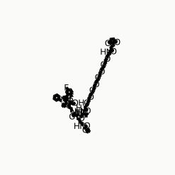 CC(C)[C@H](NC(=O)CCOCCOCCOCCOCCOCCOCCOCCOCCNC(=O)CCN1C(=O)C=CC1=O)C(=O)N[C@@H](CCCCNC(=O)OC(C)(C)C)C(=O)NCCCN(C(=O)CO)[C@@H](c1nc(-c2cc(F)ccc2F)cn1Cc1ccccc1)C(C)(C)C